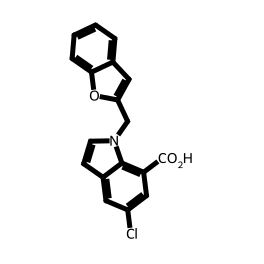 O=C(O)c1cc(Cl)cc2ccn(Cc3cc4ccccc4o3)c12